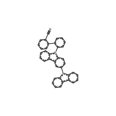 N#Cc1ccccc1-c1ccccc1-n1c2ccccc2c2cc(-n3c4ccccc4c4ccccc43)ccc21